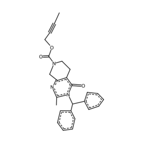 CC#CCOC(=O)N1CCc2c(nc(C)n(C(c3ccccc3)c3ccccc3)c2=O)C1